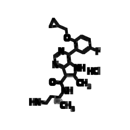 Cc1[nH]c2c(-c3cc(F)ccc3OCC3CC3)ncnc2c1C(=O)N[C@H](C)CC=N.Cl